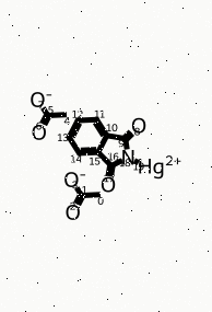 CC(=O)[O-].CC(=O)[O-].O=C1c2ccccc2C(=O)[N]1[Hg+2]